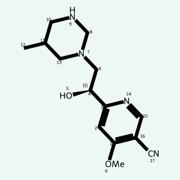 COc1cc([C@@H](O)CN2CNCC(C)C2)ncc1C#N